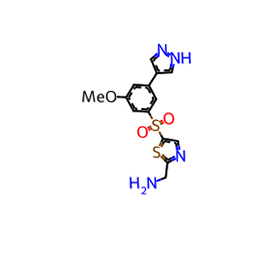 COc1cc(-c2cn[nH]c2)cc(S(=O)(=O)c2cnc(CN)s2)c1